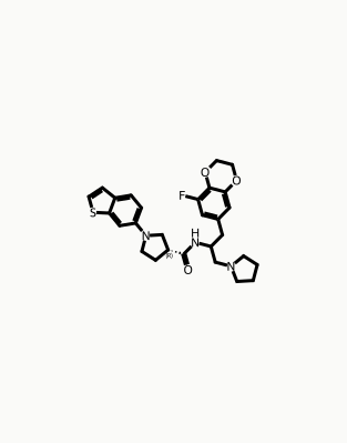 O=C(NC(Cc1cc(F)c2c(c1)OCCO2)CN1CCCC1)[C@@H]1CCN(c2ccc3ccsc3c2)C1